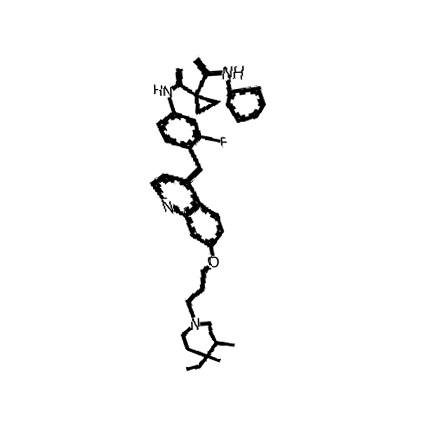 C=C(Nc1ccccc1)C1(C(=C)Nc2ccc(Cc3ccnc4cc(OCCCN5CCC(C)(CC)C(C)C5)ccc34)c(F)c2)CC1